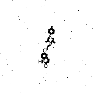 Cc1ccc(N2CC(C)N(CCCOc3ccc4[nH]c(=O)ccc4c3)C(C)C2)cc1